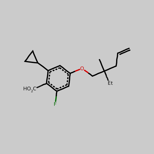 C=CCC(C)(CC)COc1cc(F)c(C(=O)O)c(C2CC2)c1